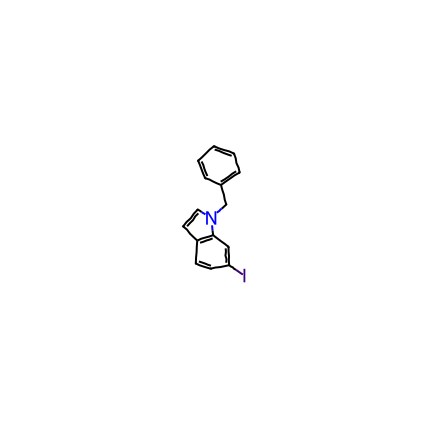 Ic1ccc2ccn(Cc3ccccc3)c2c1